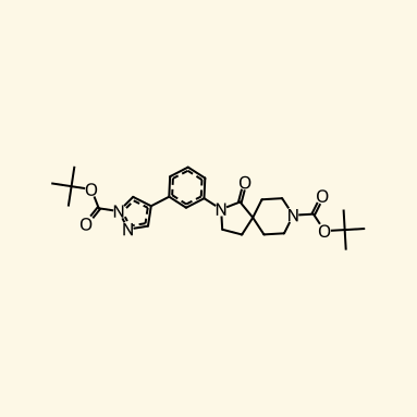 CC(C)(C)OC(=O)N1CCC2(CC1)CCN(c1cccc(-c3cnn(C(=O)OC(C)(C)C)c3)c1)C2=O